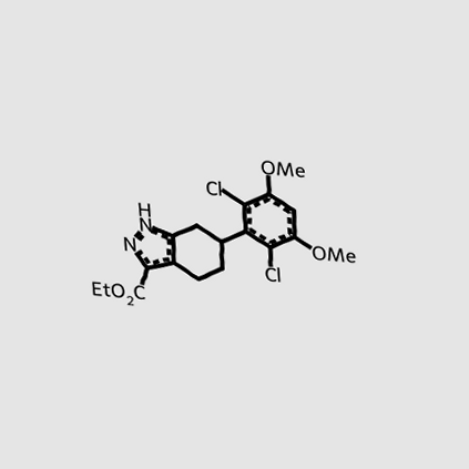 CCOC(=O)c1n[nH]c2c1CCC(c1c(Cl)c(OC)cc(OC)c1Cl)C2